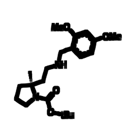 COc1ccc(CNCC[C@]2(C)CCCN2C(=O)OC(C)(C)C)c(OC)c1